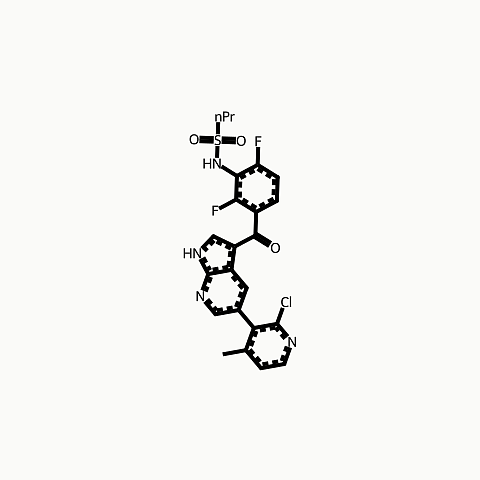 CCCS(=O)(=O)Nc1c(F)ccc(C(=O)c2c[nH]c3ncc(-c4c(C)ccnc4Cl)cc23)c1F